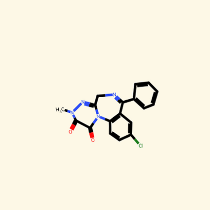 Cn1nc2n(c(=O)c1=O)-c1ccc(Cl)cc1C(c1ccccc1)=NC2